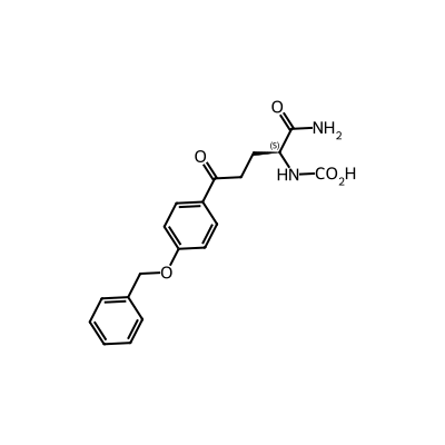 NC(=O)[C@H](CCC(=O)c1ccc(OCc2ccccc2)cc1)NC(=O)O